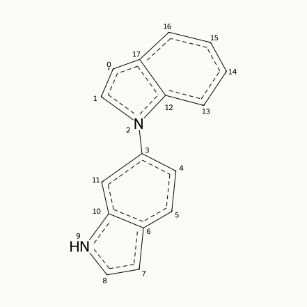 [c]1cn(-c2ccc3cc[nH]c3c2)c2ccccc12